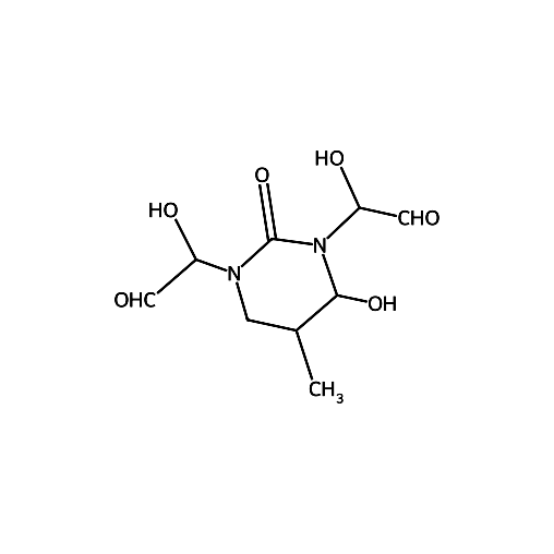 CC1CN(C(O)C=O)C(=O)N(C(O)C=O)C1O